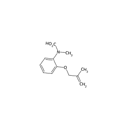 C=C(C)COc1ccccc1N(C)C(=O)O